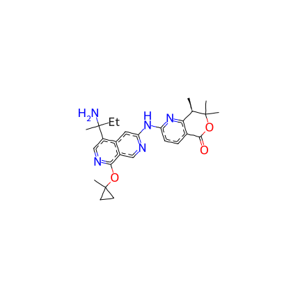 CCC(C)(N)c1cnc(OC2(C)CC2)c2cnc(Nc3ccc4c(n3)[C@@H](C)C(C)(C)OC4=O)cc12